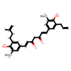 C=CCc1cc(C=CC(=O)CC(=O)C=Cc2cc(CCC(=C)C)c(O)c(OC)c2)cc(OC)c1O